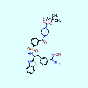 CC(C)(C)OC(=O)N1CCN(C(=O)c2cccc(S(=O)(=O)NC(Cc3cccc(C(N)=NO)c3)c3nc4ccccc4s3)c2)CC1